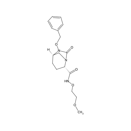 COCCONC(=O)[C@@H]1CC[C@@H]2CN1C(=O)N2OCc1ccccc1